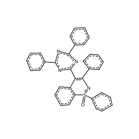 O=S1(c2ccccc2)=NC(c2ccccc2)=C(c2nc(-c3ccccc3)nc(-c3ccccc3)n2)c2ccccc21